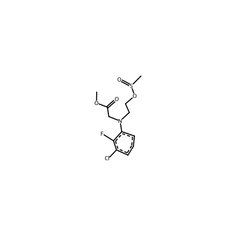 COC(=O)CN(CCOS(C)=O)c1cccc(Cl)c1F